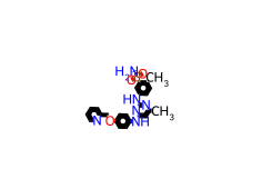 Cc1cc(Nc2ccc(OCc3ccccn3)cc2)nc(Nc2ccc(C)c(S(N)(=O)=O)c2)n1